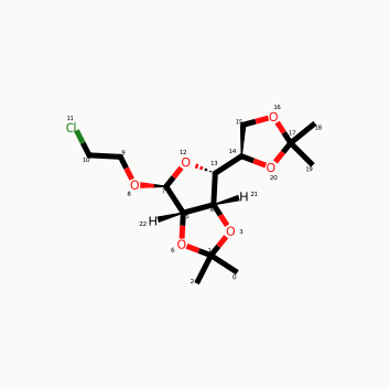 CC1(C)O[C@@H]2[C@H](O1)[C@@H](OCCCl)O[C@@H]2[C@H]1COC(C)(C)O1